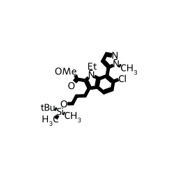 CCn1c(C(=O)OC)c(CCCO[Si](C)(C)C(C)(C)C)c2ccc(Cl)c(-c3ccnn3C)c21